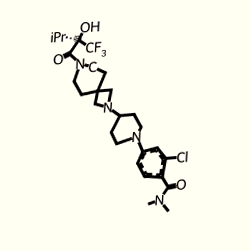 CC(C)[C@@](O)(C(=O)N1CCC2(CC1)CN(C1CCN(c3ccc(C(=O)N(C)C)c(Cl)c3)CC1)C2)C(F)(F)F